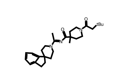 C/C(=N\C(=O)C1(C)CCN(C(=O)CC(C)(C)C)CC1)N1CCC2(CCc3ccccc32)CC1